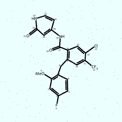 COc1cc(F)ccc1Cc1cc(C(F)(F)F)c(Cl)cc1C(=O)Nc1cc[nH]c(=O)c1